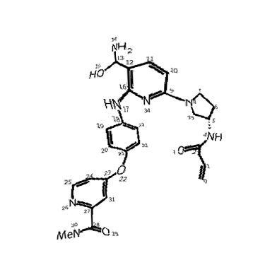 C=CC(=O)N[C@H]1CCN(c2ccc(C(N)O)c(Nc3ccc(Oc4ccnc(C(=O)NC)c4)cc3)n2)C1